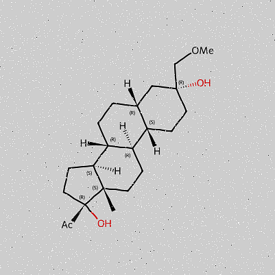 COC[C@@]1(O)CC[C@H]2[C@H](CC[C@@H]3[C@@H]2CC[C@@]2(C)[C@H]3CC[C@]2(O)C(C)=O)C1